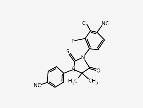 [C-]#[N+]c1ccc(N2C(=O)C(C)(C)N(c3ccc(C#N)cc3)C2=S)c(F)c1Cl